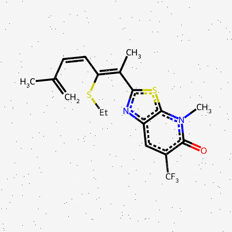 C=C(C)/C=C\C(SCC)=C(/C)c1nc2cc(C(F)(F)F)c(=O)n(C)c2s1